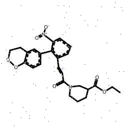 CCOC(=O)C1CCCN(C(=O)/C=C/c2cc[c]c([N+](=O)[O-])c2-c2ccc3c(c2)CCOO3)C1